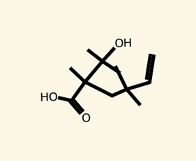 C=CC(C)(C)CC(C)(C(=O)O)C(C)(C)O